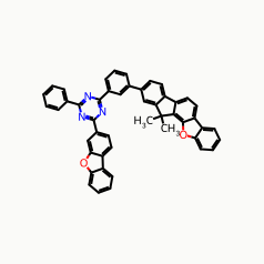 CC1(C)c2cc(-c3cccc(-c4nc(-c5ccccc5)nc(-c5ccc6c(c5)oc5ccccc56)n4)c3)ccc2-c2ccc3c(oc4ccccc43)c21